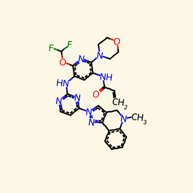 C=CC(=O)Nc1cc(Nc2nccc(-n3cc4c(n3)-c3ccccc3N(C)C4)n2)c(OC(F)F)nc1N1CCOCC1